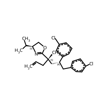 C=CC[C@@](C)(C[C@@H](Cc1ccc(Cl)cc1)c1cccc(Cl)c1)C1=N[C@@H](C(C)C)CO1